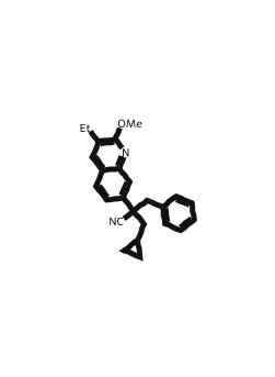 CCc1cc2ccc(C(C#N)(Cc3ccccc3)CC3CC3)cc2nc1OC